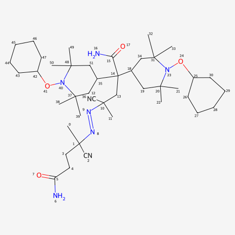 CC(C#N)(CCC(N)=O)N=NC(C)(C#N)CC(C(N)=O)(C1CC(C)(C)N(OC2CCCCC2)C(C)(C)C1)C1CC(C)(C)N(OC2CCCCC2)C(C)(C)C1